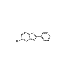 Brc1ccn2cc(-c3ccccc3)cc2c1